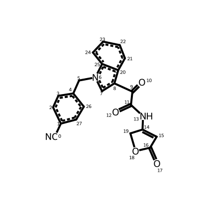 N#Cc1ccc(Cn2cc(C(=O)C(=O)NC3=CC(=O)OC3)c3ccccc32)cc1